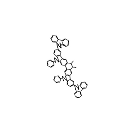 CC1c2cc3c4cc(-n5c6ccccc6c6ccccc65)ccc4n(-c4ccccc4)c3cc2-c2cc3c(cc2C1C)c1cc(-n2c4ccccc4c4ccccc42)ccc1n3-c1ccccc1